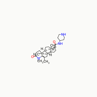 CC1=C2N(C)C(=O)CC[C@]2(C)[C@H]2CC[C@]3(C)[C@@H](C(=O)NC4CCNCC4)CC[C@H]3[C@@H]2C1